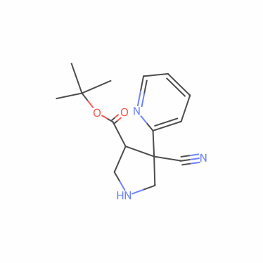 CC(C)(C)OC(=O)C1CNCC1(C#N)c1ccccn1